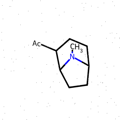 CC(=O)C1CCC2CCC1N2C